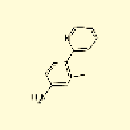 Cc1cc(N)ccc1-c1ccccn1